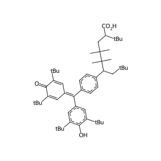 CC(C)(C)CC(c1ccc(C(=C2C=C(C(C)(C)C)C(=O)C(C(C)(C)C)=C2)c2cc(C(C)(C)C)c(O)c(C(C)(C)C)c2)cc1)C(C)(C)C(C)(C)CC(C(=O)O)C(C)(C)C